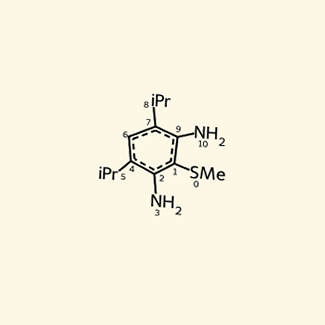 CSc1c(N)c(C(C)C)cc(C(C)C)c1N